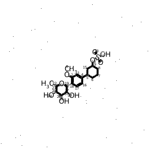 COc1cc(C2CCCC(OS(=O)(=O)O)C2)ccc1[C@H]1O[C@@H](C)[C@@H](O)[C@@H](O)[C@@H]1O